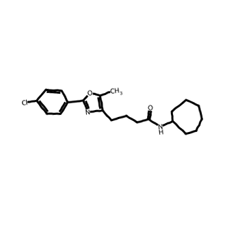 Cc1oc(-c2ccc(Cl)cc2)nc1CCCC(=O)NC1CCCCCC1